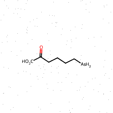 O=C(O)C(=O)CCCC[AsH2]